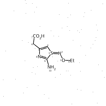 CCO/N=S1/C=C(CC(=O)O)N=C1N